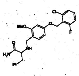 COc1cc(OCc2c(F)cccc2Cl)ccc1CNC(CC(C)C)C(N)=O